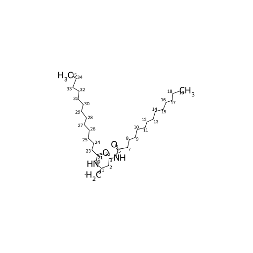 [CH2]C(CCNC(=O)CCCCCCCCCCCCC)NC(=O)CCCCCCCCCCCCC